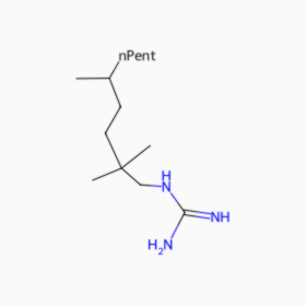 CCCCCC(C)CCC(C)(C)CNC(=N)N